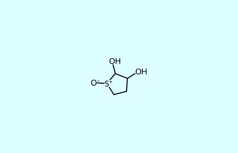 [O-][S+]1CCC(O)C1O